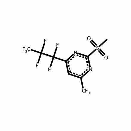 CS(=O)(=O)c1nc(C(F)(F)F)cc(C(F)(F)C(F)(F)C(F)(F)F)n1